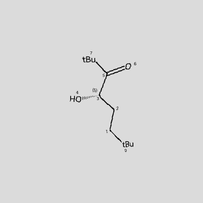 CC(C)(C)CC[C@H](O)C(=O)C(C)(C)C